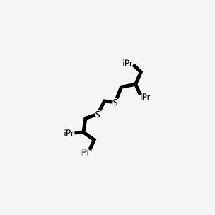 CC(C)CC(CSCSCC(CC(C)C)C(C)C)C(C)C